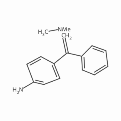 C=C(c1ccccc1)c1ccc(N)cc1.CNC